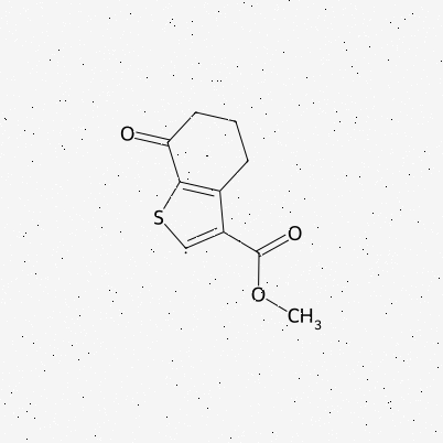 COC(=O)c1[c]sc2c1CCCC2=O